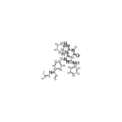 C=C/C(=N\C=C(C)C)c1ccc(Cn2nc(Nc3ccccc3)c3c2N2C(=N[C@@H]4CCCC[C@@H]42)N(C)C3=O)cc1